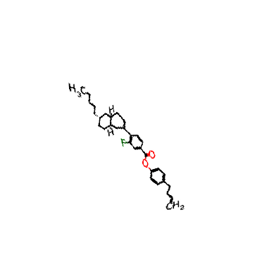 C=CCCc1ccc(OC(=O)c2ccc(C3CC[C@H]4C[C@@H](CCCCC)CC[C@@H]4C3)c(F)c2)cc1